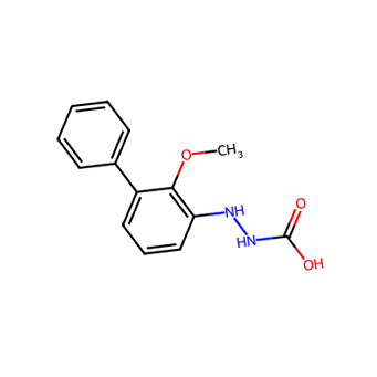 COc1c(NNC(=O)O)cccc1-c1ccccc1